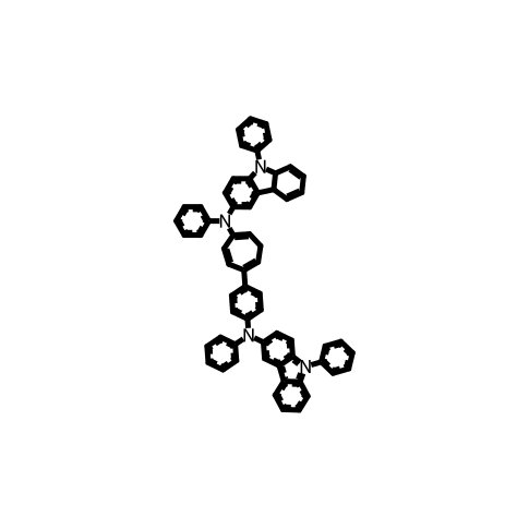 C1=CC2c3cc(N(C4=CCC=C(c5ccc(N(c6ccccc6)c6ccc7c(c6)c6ccccc6n7-c6ccccc6)cc5)C=C4)c4ccccc4)ccc3N(c3ccccc3)C2C=C1